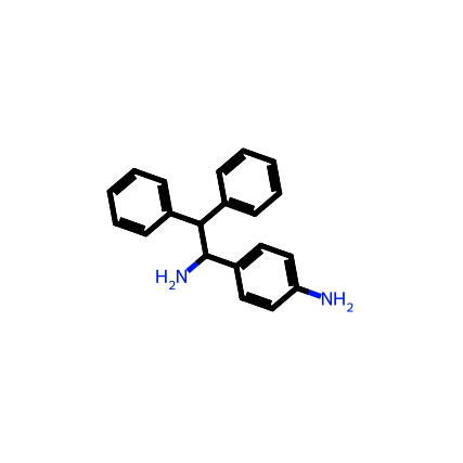 Nc1ccc(C(N)C(c2ccccc2)c2ccccc2)cc1